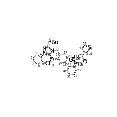 CCCCc1nn(-c2ccccc2C(F)(F)F)c(=O)n1Cc1ccc(-c2ccccc2S(=O)(=O)NC(=O)c2ccsc2)cc1